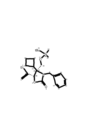 C=C(CC)[C@H]1OC(=O)N(Cc2ccccc2)[C@]1(CO[Si](C)(C)C(C)(C)C)C1CCC1